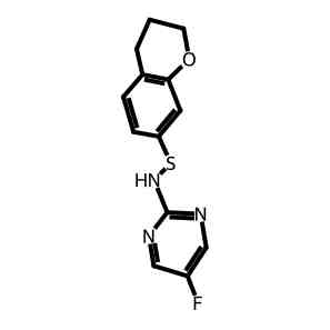 Fc1cnc(NSc2ccc3c(c2)OCCC3)nc1